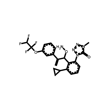 C=C(c1cccc(OC(F)(F)C(F)F)c1)C(ON)c1c(C2CC2)cccc1-n1nnn(C)c1=O